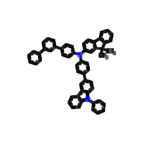 CC1(C)c2ccccc2-c2ccc(N(c3ccc(-c4cccc(-c5ccccc5)c4)cc3)c3ccc(-c4ccc5c(c4)c4ccccc4n5-c4ccccc4)cc3)cc21